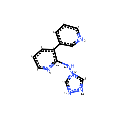 c1cncc(-c2cccnc2Nn2cnnc2)c1